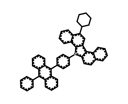 c1ccc(-c2c3ccccc3c(-c3ccc(-n4c5ccc6ccccc6c5c5cc(C6CCCCC6)c6ccccc6c54)cc3)c3ccccc23)cc1